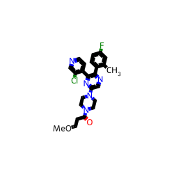 COCCC(=O)N1CCN(c2cnc(-c3ccc(F)cc3C)c(-c3ccncc3Cl)n2)CC1